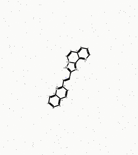 C(=C\c1nc2c3ncccc3ccn2n1)/c1ccc2ccccc2n1